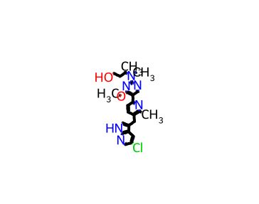 COc1nc(N(C)C(C)CCO)ncc1-c1ccc(Cc2c[nH]c3ncc(Cl)cc23)c(C)n1